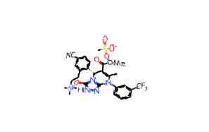 COC(=O)C1=C(C)N(c2cccc(C(F)(F)F)c2)c2n[nH]c(=O)n2[C@@H]1c1ccc(C#N)cc1CC[N+](C)(C)C.CS(=O)(=O)[O-]